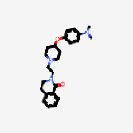 CN(C)c1ccc(OC2CCN(CCN3CCc4ccccc4C3=O)CC2)cc1